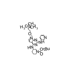 CC(C)(C)OC(=O)N1CCCC(Nc2nc(Nc3cccnc3)nc3c2ccn3COCC[Si](C)(C)C)C1